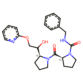 O=C(NCc1ccccc1)N1CCC[C@H]1C(=O)N1CCC[C@H]1C(O)COc1ccccn1